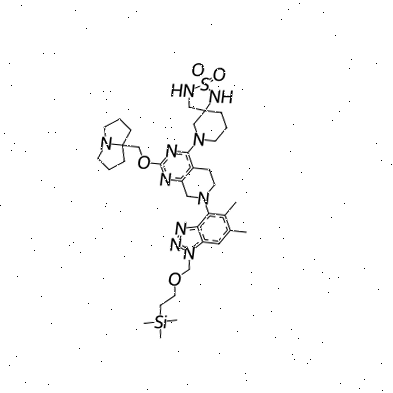 Cc1cc2c(nnn2COCC[Si](C)(C)C)c(N2CCc3c(nc(OCC45CCCN4CCC5)nc3N3CCCC4(CNS(=O)(=O)N4)C3)C2)c1C